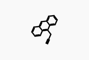 C#CCc1c2ccccc2cc2ccccc12